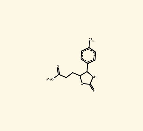 COC(=O)CCC1OC(=O)NC1c1ccc(C(F)(F)F)cc1